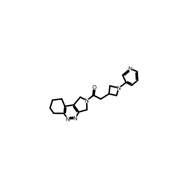 O=C(CC1CN(c2cccnc2)C1)N1Cc2nnc3c(c2C1)CCCC3